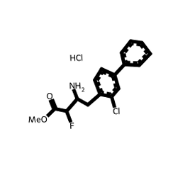 COC(=O)C(F)C(N)Cc1ccc(-c2ccccc2)cc1Cl.Cl